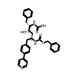 O=C(O)N[C@@H](Cc1ccccc1)[C@@H](O)C[C@H](Cc1ccc(-c2ccncc2)cc1)NC(=O)OCc1ccccc1